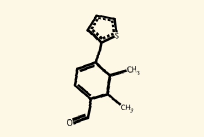 CC1C(C=O)=CC=C(c2cccs2)C1C